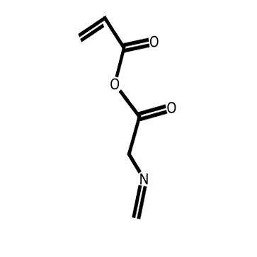 C=CC(=O)OC(=O)CN=C